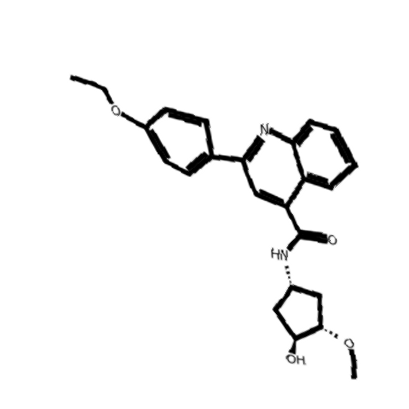 CCOc1ccc(-c2cc(C(=O)N[C@@H]3C[C@H](OC)[C@@H](O)C3)c3ccccc3n2)cc1